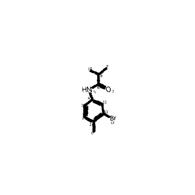 Cc1ccc(NC(=O)C(C)C)cc1Br